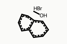 Br.CO.c1ccc2ccccc2c1